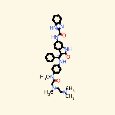 CN(C)CCN(C)CC(=O)N(C)c1ccc(N/C(=C2\C(=O)Nc3cc(NC(=O)c4nc5ccccc5[nH]4)ccc32)c2ccccc2)cc1